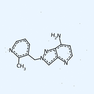 Cc1ncccc1Cn1cc2nccc(N)c2n1